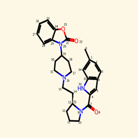 Cc1ccc2cc(C(=O)N3CCC[C@H]3CCN3CCC(n4c(=O)oc5ccccc54)CC3)[nH]c2c1